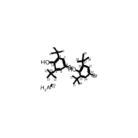 CC(C)(C)c1cc(Br)cc(C(C)(C)C)c1O.CC(C)(C)c1cc(Br)cc(C(C)(C)C)c1O.[CH3][AlH2]